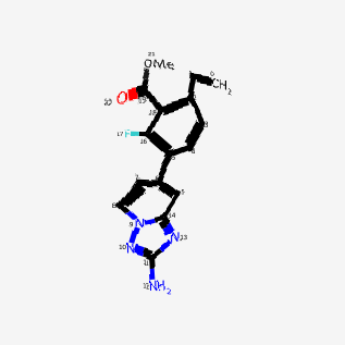 C=Cc1ccc(-c2ccn3nc(N)nc3c2)c(F)c1C(=O)OC